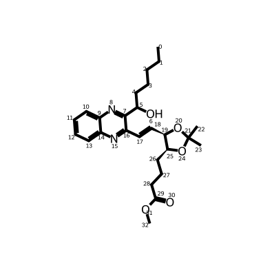 CCCCCC(O)c1nc2ccccc2nc1/C=C/[C@H]1OC(C)(C)O[C@H]1CCCC(=O)OC